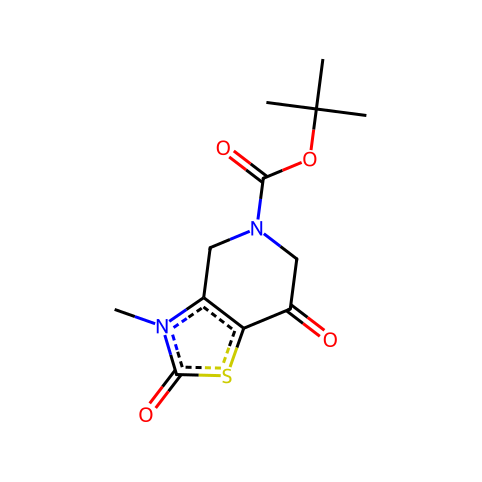 Cn1c2c(sc1=O)C(=O)CN(C(=O)OC(C)(C)C)C2